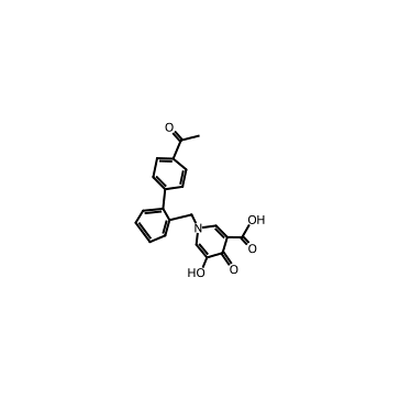 CC(=O)c1ccc(-c2ccccc2Cn2cc(O)c(=O)c(C(=O)O)c2)cc1